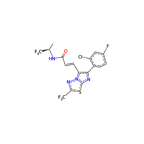 C[C@@H](NC(=O)/C=C/c1c(-c2ccc(F)cc2Cl)nc2sc(C(F)(F)F)nn12)C(F)(F)F